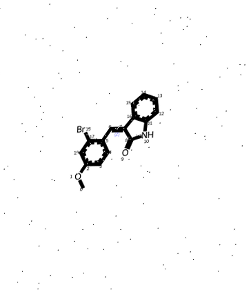 COc1ccc(/C=C2\C(=O)Nc3ccccc32)c(Br)c1